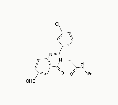 CC(C)NC(=O)Cn1c(-c2cccc(Cl)c2)nc2ccc(C=O)cc2c1=O